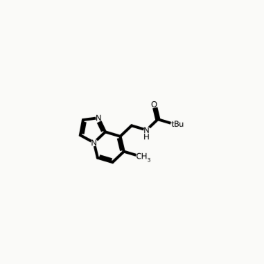 Cc1ccn2ccnc2c1CNC(=O)C(C)(C)C